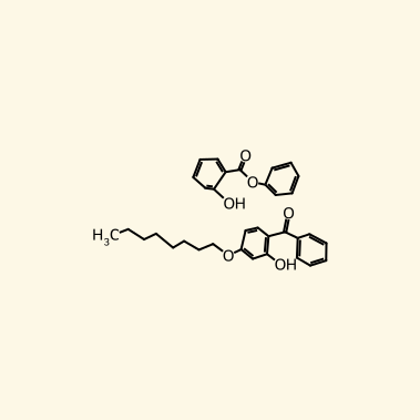 CCCCCCCCOc1ccc(C(=O)c2ccccc2)c(O)c1.O=C(Oc1ccccc1)c1ccccc1O